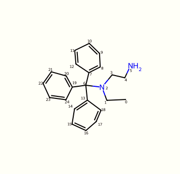 CCN(CCN)C(c1ccccc1)(c1ccccc1)c1ccccc1